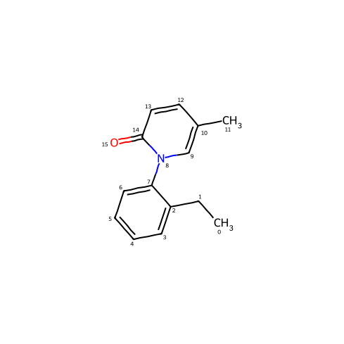 CCc1ccccc1-n1cc(C)ccc1=O